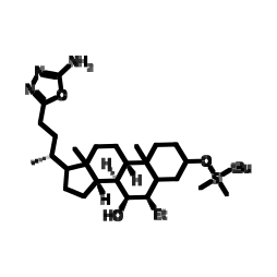 CC[C@@H]1C2CC(O[Si](C)(C)C(C)(C)C)CCC2(C)[C@H]2CCC3(C)C([C@H](C)CCc4nnc(N)o4)CC[C@H]3[C@@H]2[C@@H]1O